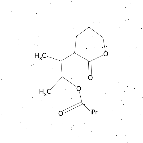 CC(C)C(=O)OC(C)C(C)C1CCCOC1=O